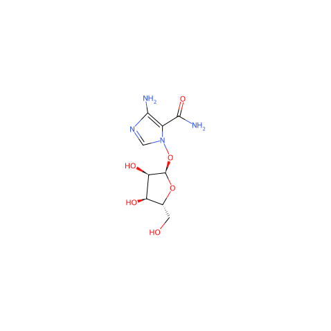 NC(=O)c1c(N)ncn1O[C@H]1O[C@H](CO)[C@@H](O)[C@H]1O